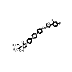 CC[C@@H](C(C)O)n1ncn(-c2ccc(N3CCN(c4ccc(OC[C@@H]5COC(c6ccc(F)cc6F)C5)cc4)CC3)cc2)c1=O